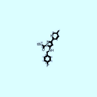 CC1C=CC(c2cc(NCc3ccc(F)cc3)n(C(=O)C(C)(C)C)n2)=NC1